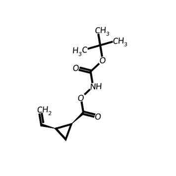 C=C[C@@H]1C[C@@H]1C(=O)ONC(=O)OC(C)(C)C